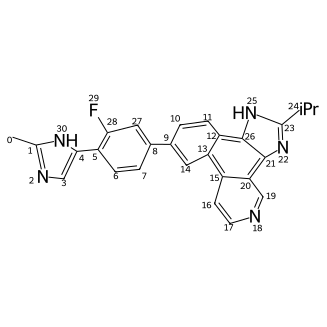 Cc1ncc(-c2ccc(-c3ccc4c(c3)c3ccncc3c3nc(C(C)C)[nH]c43)cc2F)[nH]1